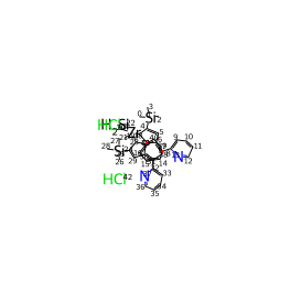 C[Si](C)(C)C1=Cc2c(-c3ccccn3)cccc2[CH]1[Zr]([CH3])([CH3])(=[SiH2])[CH]1C([Si](C)(C)C)=Cc2c(-c3ccccn3)cccc21.Cl.Cl